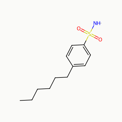 CCCCCCc1ccc(S([NH])(=O)=O)cc1